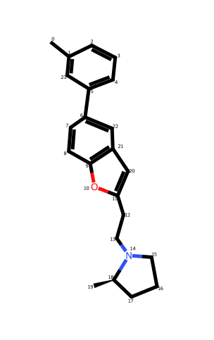 Cc1cccc(-c2ccc3oc(CCN4CCC[C@H]4C)cc3c2)c1